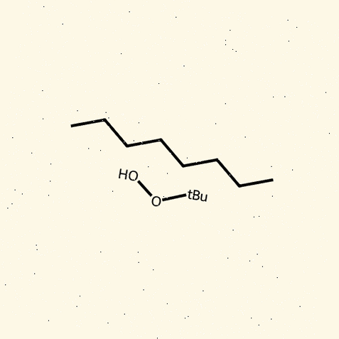 CC(C)(C)OO.CCCCCCCC